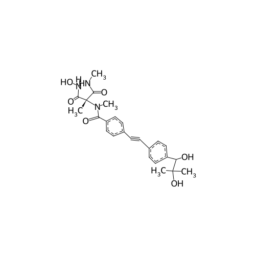 CNC(=O)[C@@](C)(C(=O)NO)N(C)C(=O)c1ccc(C#Cc2ccc(C(O)C(C)(C)O)cc2)cc1